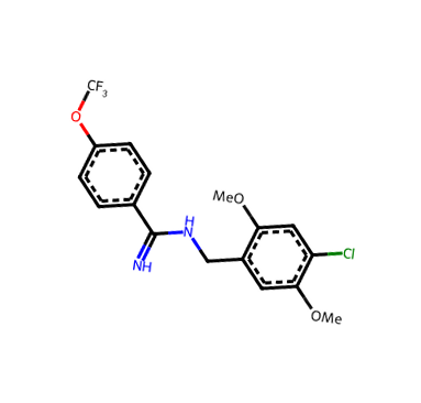 COc1cc(CNC(=N)c2ccc(OC(F)(F)F)cc2)c(OC)cc1Cl